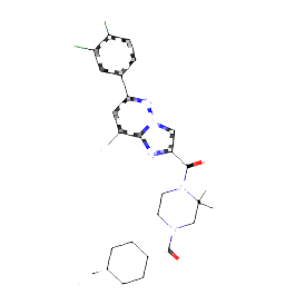 CC(C)(C)c1cc(-c2ccc(F)c(Cl)c2)nn2cc(C(=O)N3CCN(C(=O)[C@H]4CC[C@H](C(=O)O)CC4)CC3(C)C)nc12